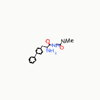 CNC(=O)CNC(=O)C(N)Cc1ccc(-c2ccccc2)cc1